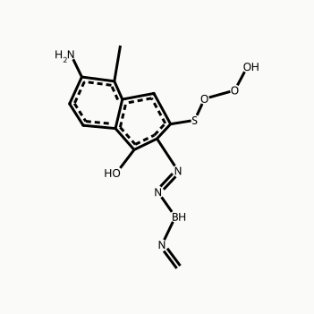 C=NBN=Nc1c(SOOO)cc2c(C)c(N)ccc2c1O